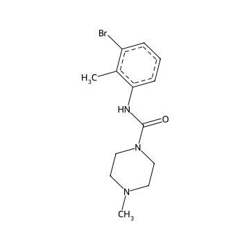 Cc1c(Br)cccc1NC(=O)N1CCN(C)CC1